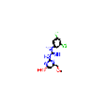 COCc1cc(O)nc(NC(=N)Nc2cc(Cl)cc(Cl)c2)n1